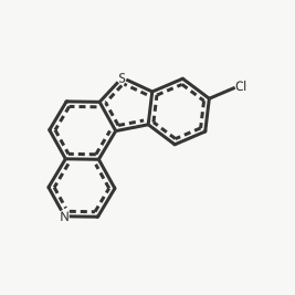 Clc1ccc2c(c1)sc1ccc3cnccc3c12